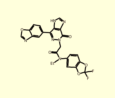 CCN(C(=O)Cn1nc(-c2ccc3ocnc3c2)c2[nH]cnc2c1=O)c1ccc2c(c1)OC(F)(F)O2